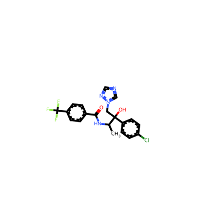 CC(NC(=O)c1ccc(C(F)(F)F)cc1)C(O)(Cn1cncn1)c1ccc(Cl)cc1